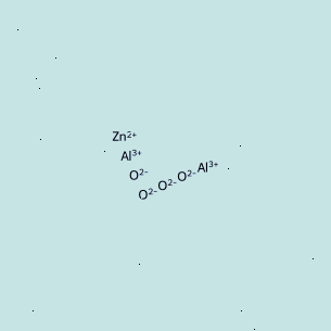 [Al+3].[Al+3].[O-2].[O-2].[O-2].[O-2].[Zn+2]